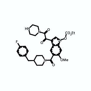 CCOC(=O)On1cc(C(=O)C(=O)N2CCNCC2)c2cc(C(=O)N3CCC(Cc4ccc(F)cc4)CC3)c(OC)cc21